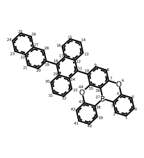 c1ccc2c(c1)Oc1ccc(-c3c4ccccc4c(-c4ccc5ccccc5c4)c4ccccc34)c3c1B2c1ccccc1O3